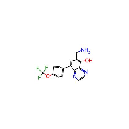 NCc1cc(-c2ccc(OC(F)(F)F)cc2)c2nccnc2c1O